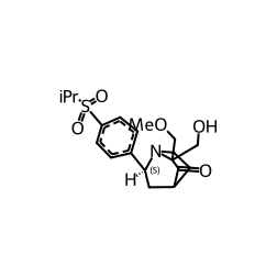 COCC1(CO)C(=O)C2CCN1[C@H](c1ccc(S(=O)(=O)C(C)C)cc1)C2